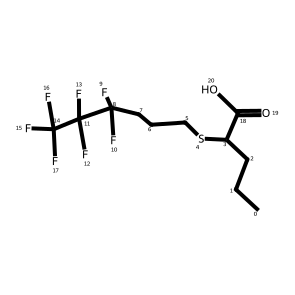 CCCC(SCCCC(F)(F)C(F)(F)C(F)(F)F)C(=O)O